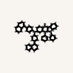 c1ccc(N2c3cc(N(c4ccc(-c5cccc6ccccc56)cc4)c4ccc(-c5cccc6ccccc56)cc4)ccc3Nc3c2n(-c2ccccc2)c2ccccc32)cc1